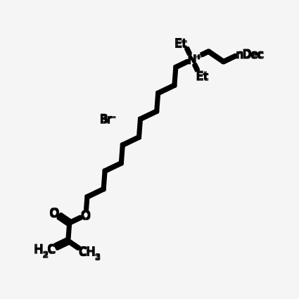 C=C(C)C(=O)OCCCCCCCCCCC[N+](CC)(CC)CCCCCCCCCCCC.[Br-]